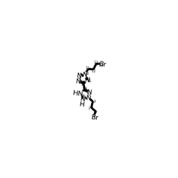 BrCCCN1N=C(c2nnn(CCCBr)n2)NN1